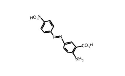 Nc1ccc(/N=N/c2ccc(S(=O)(=O)O)cc2)cc1C(=O)O